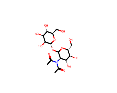 CC(=O)N(C(C)=O)[C@H]1C(O[C@H]2O[C@H](CO)[C@@H](O)[C@H](O)[C@@H]2O)O[C@H](CO)[C@@H](O)[C@@H]1O